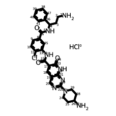 Cl.NCCC(NC(=O)c1ccc(Cl)c(NC(=O)c2cc3cnc(N4CCC(N)CC4)nc3[nH]c2=O)c1)c1ccccc1